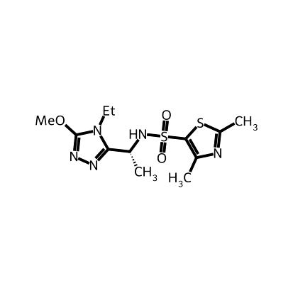 CCn1c(OC)nnc1[C@@H](C)NS(=O)(=O)c1sc(C)nc1C